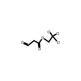 O=[C]CC(=O)OCC(Cl)(Cl)Cl